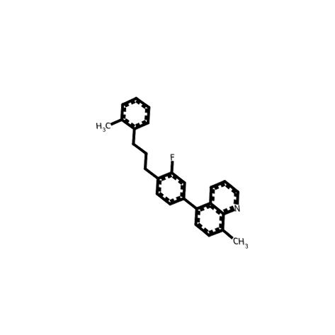 Cc1ccccc1CCCc1ccc(-c2ccc(C)c3ncccc23)cc1F